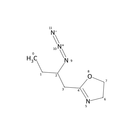 CCC(CC1=NCCO1)N=[N+]=[N-]